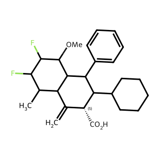 C=C1C2C(C)C(F)C(F)C(OC)C2C(c2ccccc2)C(C2CCCCC2)[C@@H]1C(=O)O